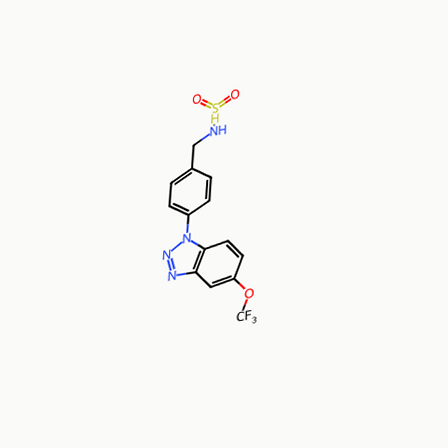 O=[SH](=O)NCc1ccc(-n2nnc3cc(OC(F)(F)F)ccc32)cc1